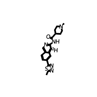 [2H]c1c(NC(=O)C2CCN(C)CC2)ncc2ccc(-c3nnc(C)s3)cc12